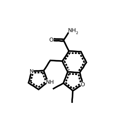 Cc1oc2ccc(C(N)=O)c(Cc3ncc[nH]3)c2c1C